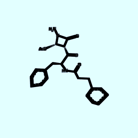 CC(=O)O[C@H]1[C@@H](C(=O)[C@H](Cc2ccccc2)NC(=O)CCc2ccccc2)C(=O)N1N